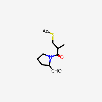 CC(=O)SCC(C)C(=O)N1CCCC1C=O